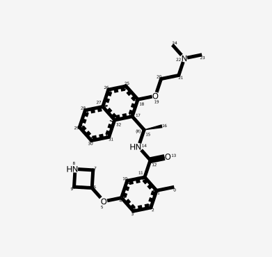 Cc1ccc(OC2CNC2)cc1C(=O)N[C@H](C)c1c(OCCN(C)C)ccc2ccccc12